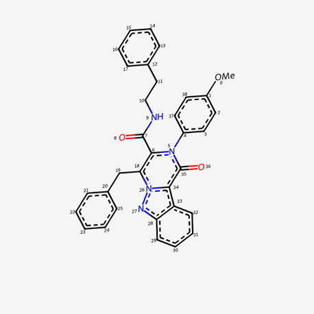 COc1ccc(-n2c(C(=O)NCCc3ccccc3)c(Cc3ccccc3)n3nc4ccccc4c3c2=O)cc1